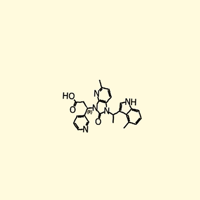 Cc1ccc2c(n1)n([C@H](CC(=O)O)c1cccnc1)c(=O)n2C(C)c1c[nH]c2cccc(C)c12